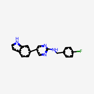 Fc1ccc(CNc2ncc(-c3ccc4cc[nH]c4c3)cn2)cc1